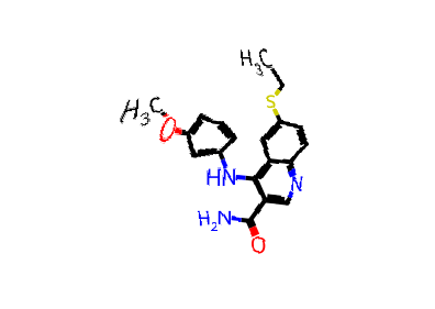 CCSc1ccc2ncc(C(N)=O)c(Nc3cccc(OC)c3)c2c1